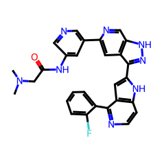 CN(C)CC(=O)Nc1cncc(-c2cc3c(-c4cc5c(-c6ccccc6F)nccc5[nH]4)n[nH]c3cn2)c1